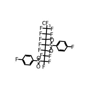 O=S(=O)(c1ccc(F)cc1)C(F)(F)C(F)(F)C(F)(F)C(F)(C(F)(F)C(F)(F)C(F)(F)C(F)(F)F)S(=O)(=O)c1ccc(F)cc1